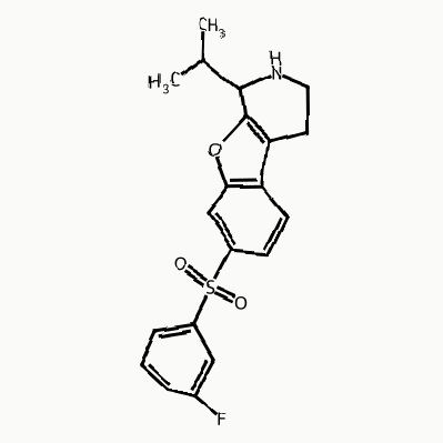 CC(C)C1NCCc2c1oc1cc(S(=O)(=O)c3cccc(F)c3)ccc21